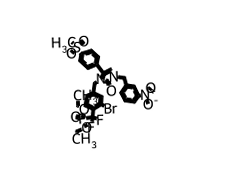 CCOP(=O)(OCC)C(F)(F)c1ccc(Cn2c(-c3ccc(S(C)(=O)=O)cc3)cn(Cc3cccc([N+](=O)[O-])c3)c2=O)cc1Br